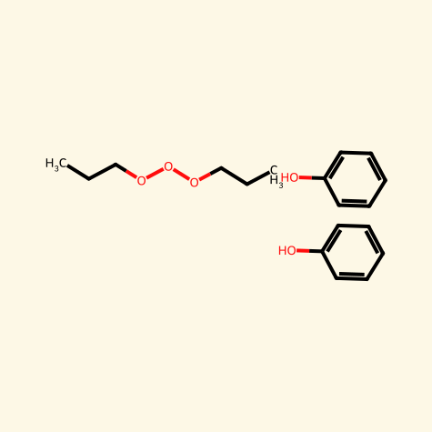 CCCOOOCCC.Oc1ccccc1.Oc1ccccc1